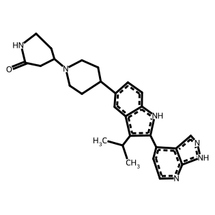 CC(C)c1c(-c2ccnc3[nH]ncc23)[nH]c2ccc(C3CCN(C4CCNC(=O)C4)CC3)cc12